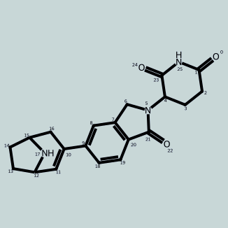 O=C1CCC(N2Cc3cc(C4=CC5CCC(C4)N5)ccc3C2=O)C(=O)N1